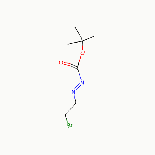 CC(C)(C)OC(=O)N=NCCBr